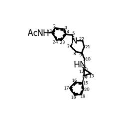 CC(=O)Nc1ccc(CN2CCC(CN[C@@H]3C[C@H]3c3ccccc3)CC2)cc1